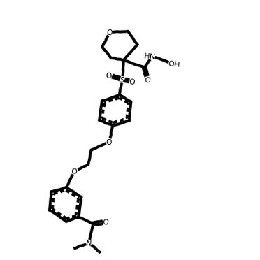 CN(C)C(=O)c1cccc(OCCOc2ccc(S(=O)(=O)C3(C(=O)NO)CCOCC3)cc2)c1